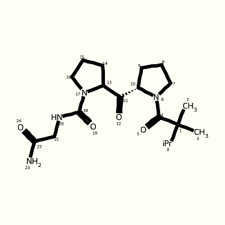 CC(C)C(C)(C)C(=O)N1CCC[C@H]1C(=O)C1CCCN1C(=O)NCC(N)=O